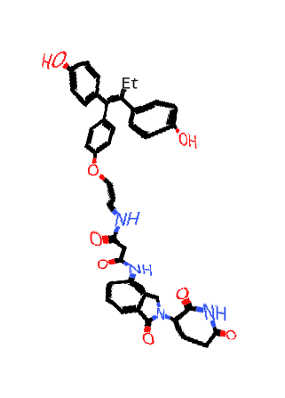 CCC(=C(c1ccc(O)cc1)c1ccc(OCCNC(=O)CC(=O)Nc2cccc3c2CN(C2CCC(=O)NC2=O)C3=O)cc1)c1ccc(O)cc1